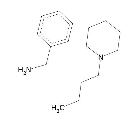 CCCCN1CCCCC1.NCc1ccccc1